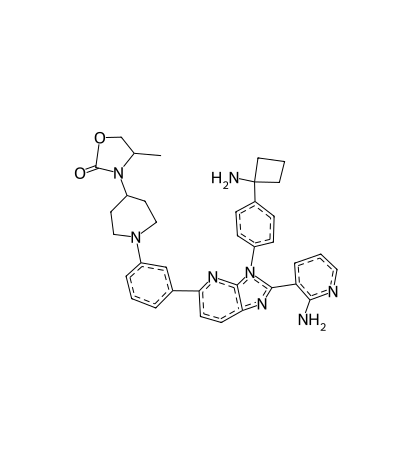 CC1COC(=O)N1C1CCN(c2cccc(-c3ccc4nc(-c5cccnc5N)n(-c5ccc(C6(N)CCC6)cc5)c4n3)c2)CC1